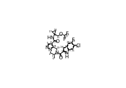 CC1Cn2ncc(C(=O)NC3(COC(F)F)CC3)c2CN1C(=O)c1cc2cc(F)c(Cl)cc2[nH]1